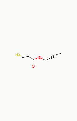 CC#CCOC(=O)CCS